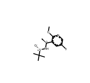 COc1ncc(F)cc1[C@H](C)N[S@@+]([O-])C(C)(C)C